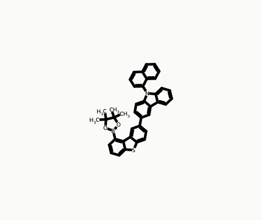 CC1(C)OB(c2cccc3sc4ccc(-c5ccc6c(c5)c5ccccc5n6-c5cccc6ccccc56)cc4c23)OC1(C)C